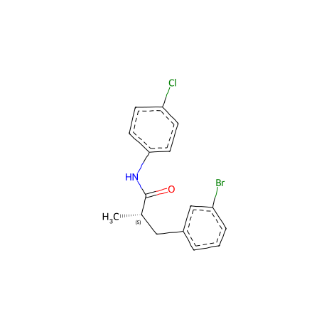 C[C@@H](Cc1cccc(Br)c1)C(=O)Nc1ccc(Cl)cc1